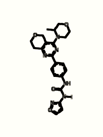 CC1COCCN1c1nc(-c2ccc(NC(=O)N(I)c3ccon3)cc2)nc2c1COCC2